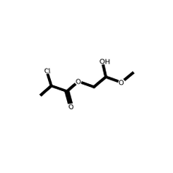 COC(O)COC(=O)C(C)Cl